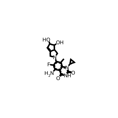 Cc1c(N2CC3=CC(O)C(O)C3C2)c(F)c(N)c2c(=O)[nH]c(=O)n(C3CC3)c12